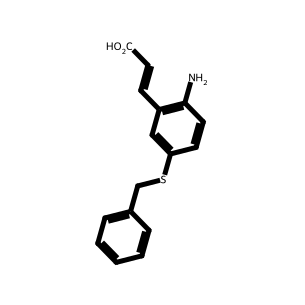 Nc1ccc(SCc2ccccc2)cc1/C=C/C(=O)O